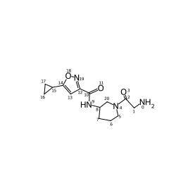 NCC(=O)N1CCCC(NC(=O)c2cc(C3CC3)on2)C1